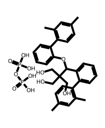 Cc1ccc(-c2ccccc2OC(c2ccccc2-c2ccc(C)cc2C)C(CO)(CO)CO)c(C)c1.O=P(O)(O)OP(=O)(O)O